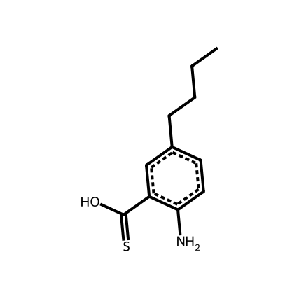 CCCCc1ccc(N)c(C(O)=S)c1